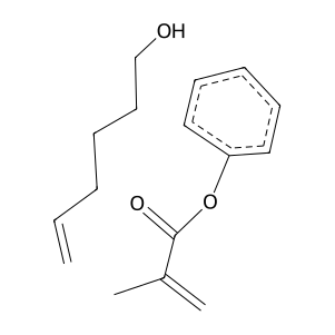 C=C(C)C(=O)Oc1ccccc1.C=CCCCCO